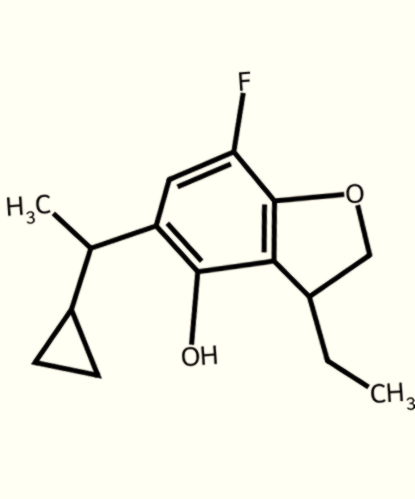 CCC1COc2c(F)cc(C(C)C3CC3)c(O)c21